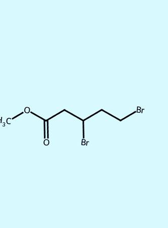 COC(=O)CC(Br)CCBr